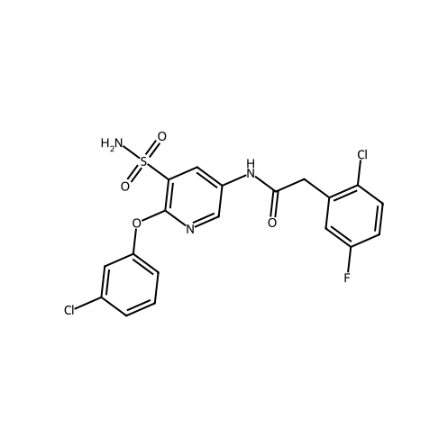 NS(=O)(=O)c1cc(NC(=O)Cc2cc(F)ccc2Cl)cnc1Oc1cccc(Cl)c1